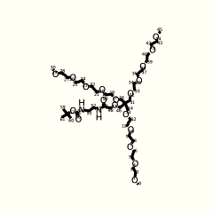 COCCOCCOCCOCCOCC(COCCOCCOCCOCCOC)(COCCOCCOCCOCCOC)COCC(=O)NCCNC(=O)OC(C)(C)C